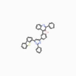 c1ccc(-c2nc(-c3ccc4oc5c(-c6ccccc6)nc6ccccc6c5c4c3)cc(-c3cccc4c3sc3ccccc34)n2)cc1